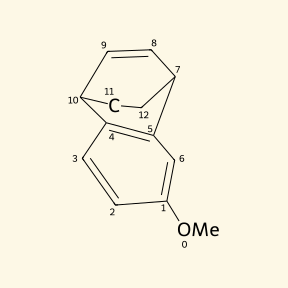 COc1ccc2c(c1)C1C=CC2CC1